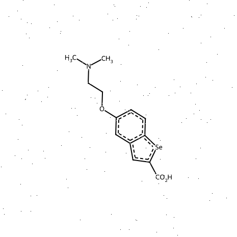 CN(C)CCOc1ccc2[se]c(C(=O)O)cc2c1